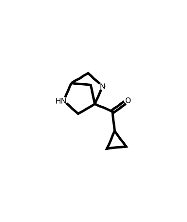 O=C(C1CC1)C12CNC(C[N]1)C2